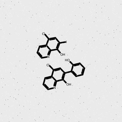 Oc1c(I)cc(Cl)c2cccnc12.Oc1ccccc1-c1cc(Cl)c2cccnc2c1O